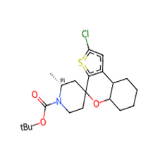 C[C@@H]1CC2(CCN1C(=O)OC(C)(C)C)OC1CCCCC1c1cc(Cl)sc12